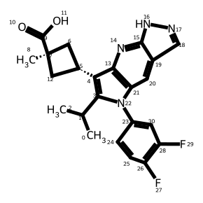 CC(C)c1c([C@H]2C[C@](C)(C(=O)O)C2)c2nc3[nH]ncc3cc2n1-c1ccc(F)c(F)c1